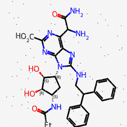 CCC(=O)N[C@H]1C[C@@H](n2c(NCC(c3ccccc3)c3ccccc3)nc3c(C(N)C(N)=O)nc(C(=O)O)nc32)[C@H](O)[C@@H]1O